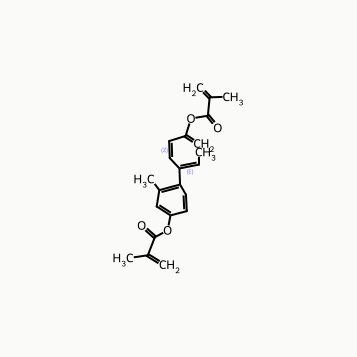 C=C(/C=C\C(=C/C)c1ccc(OC(=O)C(=C)C)cc1C)OC(=O)C(=C)C